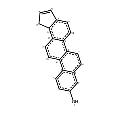 Oc1ccc2c(ccc3c4ccc5c(c4ccc23)CC=C5)c1